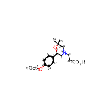 CCCCCCCCOc1ccc(C2CN(CCC(=O)O)CC(C)(C)O2)cc1